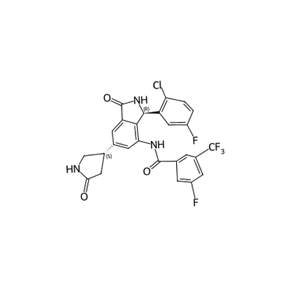 O=C1C[C@@H](c2cc(NC(=O)c3cc(F)cc(C(F)(F)F)c3)c3c(c2)C(=O)N[C@H]3c2cc(F)ccc2Cl)CN1